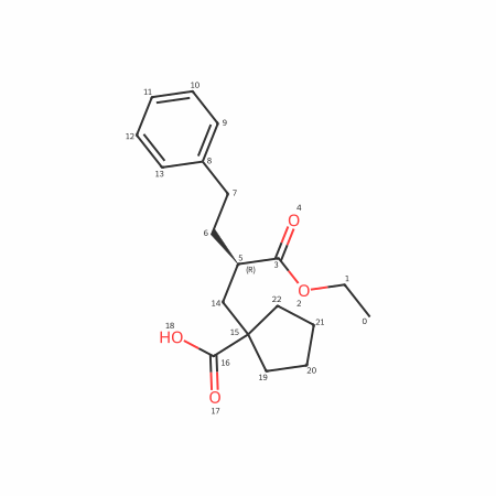 CCOC(=O)[C@H](CCc1ccccc1)CC1(C(=O)O)CCCC1